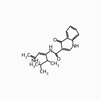 C=C(N)/C=C(/NC(=O)c1c[nH]c2ccccc2c1=O)C(C)C(C)C